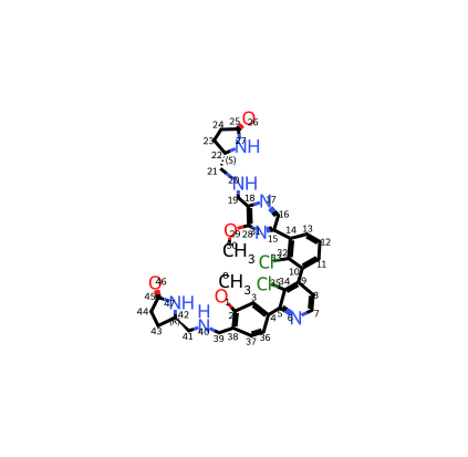 COc1cc(-c2nccc(-c3cccc(-c4cnc(CNC[C@@H]5CCC(=O)N5)c(OC)n4)c3Cl)c2Cl)ccc1CNC[C@H]1CCC(=O)N1